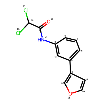 O=C(Nc1cccc(-c2ccoc2)c1)C(Cl)Cl